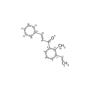 C=Cc1cccc(C(=O)C=Cc2ccccc2)c1C